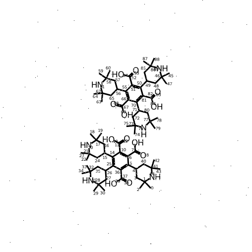 CC1(C)CC(c2c(C(=O)O)c(C(=O)O)c(C3CC(C)(C)NC(C)(C)C3)c(C3CC(C)(C)NC(C)(C)C3)c2C(=O)O)CC(C)(C)N1.CC1(C)CC(c2c(C(=O)O)c(C3CC(C)(C)NC(C)(C)C3)c(C(=O)O)c(C3CC(C)(C)NC(C)(C)C3)c2C(=O)O)CC(C)(C)N1